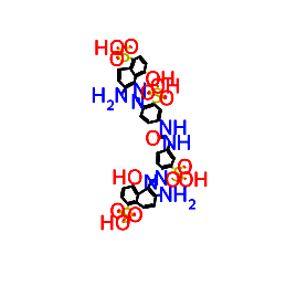 Nc1ccc2c(S(=O)(=O)O)ccc(O)c2c1N=Nc1ccc(NC(=O)Nc2ccc(N=Nc3c(N)ccc4c(S(=O)(=O)O)ccc(O)c34)c(S(=O)(=O)O)c2)cc1S(=O)(=O)O